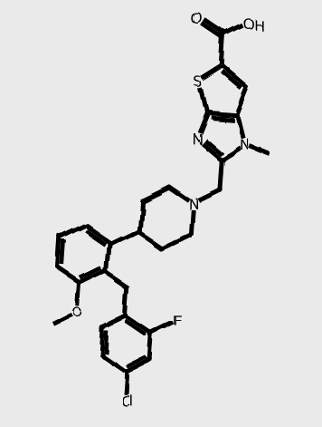 COc1cccc(C2CCN(Cc3nc4sc(C(=O)O)cc4n3C)CC2)c1Cc1ccc(Cl)cc1F